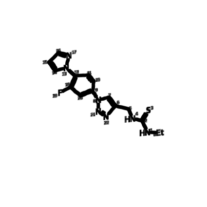 CCNC(=S)NCc1cn(-c2ccc(-n3cccn3)c(F)c2)nn1